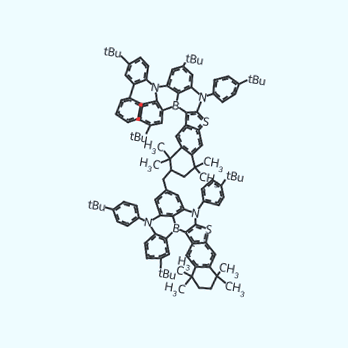 CC(C)(C)c1ccc(N2c3ccc(C(C)(C)C)cc3B3c4c2cc(CC2CC(C)(C)c5cc6sc7c(c6cc5C2(C)C)B2c5cc(C(C)(C)C)ccc5N(c5ccc(C(C)(C)C)cc5-c5ccccc5)c5cc(C(C)(C)C)cc(c52)N7c2ccc(C(C)(C)C)cc2)cc4N(c2ccc(C(C)(C)C)cc2)c2sc4cc5c(cc4c23)C(C)(C)CCC5(C)C)cc1